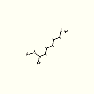 CCCCCCCCCCCCC(O)OC(C)C